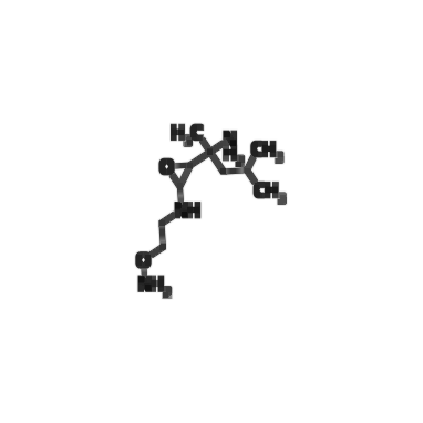 CC(C)CC(C)(N)C1OC1NCCON